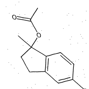 CC(=O)OC1(C)CCc2cc(Br)ccc21